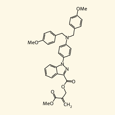 C=C(COC(=O)c1nn(-c2ccc(N(Cc3ccc(OC)cc3)Cc3ccc(OC)cc3)cc2)c2ccccc12)C(=O)OC